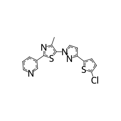 Cc1nc(-c2cccnc2)sc1-n1ccc(-c2ccc(Cl)s2)n1